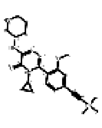 COc1cc(C#C[Si](C)(C)C)ccc1-c1nnc(N[C@@H]2CCCNC2)c(=O)n1C1CC1